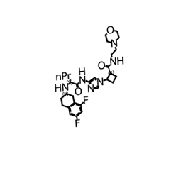 CCC[C@H](N[C@H]1CCc2cc(F)cc(F)c2C1)C(=O)Nc1cn(C2CC[C@@H]2C(=O)NCCN2CCOCC2)cn1